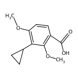 COc1ccc(C(=O)O)c(OC)c1C1CC1